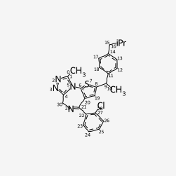 Cc1nnc2n1-c1sc(C(C)c3ccc(CC(C)C)cc3)cc1C(c1ccccc1Cl)=NC2